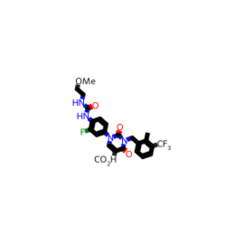 COCCNC(=O)Nc1ccc(-n2cc(C(=O)O)c(=O)n(Cc3cccc(C(F)(F)F)c3C)c2=O)cc1F